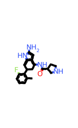 Cc1cccc(F)c1C1C=c2[nH]c(N)cc2=C(NC(=O)C2CCNC2)C1